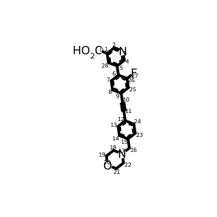 O=C(O)c1cncc(-c2ccc(C#Cc3ccc(CN4CCOCC4)cc3)cc2F)c1